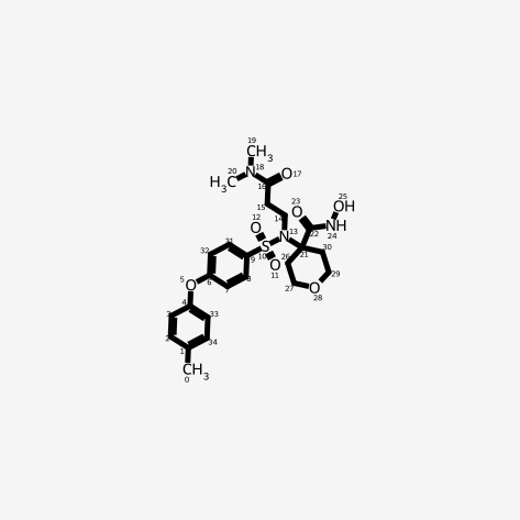 Cc1ccc(Oc2ccc(S(=O)(=O)N(CCC(=O)N(C)C)C3(C(=O)NO)CCOCC3)cc2)cc1